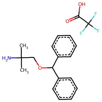 CC(C)(N)COC(c1ccccc1)c1ccccc1.O=C(O)C(F)(F)F